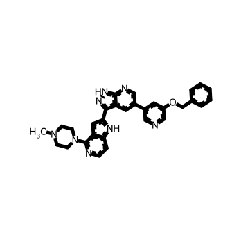 CN1CCN(c2nccc3[nH]c(-c4n[nH]c5ncc(-c6cncc(OCc7ccccc7)c6)cc45)cc23)CC1